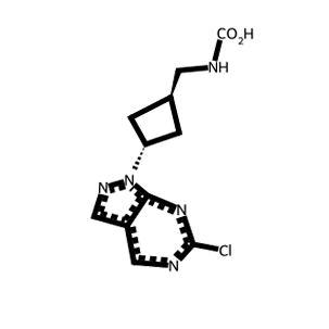 O=C(O)NC[C@H]1C[C@H](n2ncc3cnc(Cl)nc32)C1